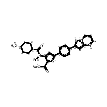 COC(=O)c1sc(-c2ccc(-c3cc4ncccn4n3)cc2)cc1N(C(=O)[C@H]1CC[C@H](C)CC1)C(C)C